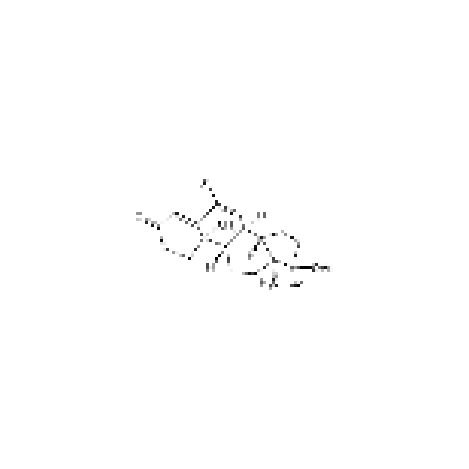 CC(=O)O[C@]1(C(C)=O)CC[C@H]2[C@@H]3C=C(Br)C4=CC(=O)OC[C@]4(C)[C@H]3CC[C@@]21C